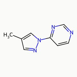 Cc1cnn(-c2ccncn2)c1